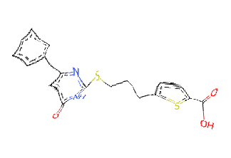 O=C(O)c1ccc(CCCSc2nc(-c3ccccc3)cc(=O)[nH]2)s1